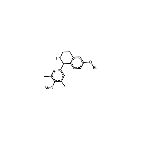 CCOc1ccc2c(c1)CCNC2c1cc(C)c(OC)c(C)c1